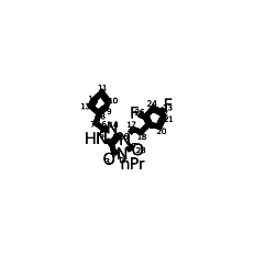 CCCn1c(=O)c2[nH]c(Cc3ccccc3)nc2n(CCc2ccc(F)cc2F)c1=O